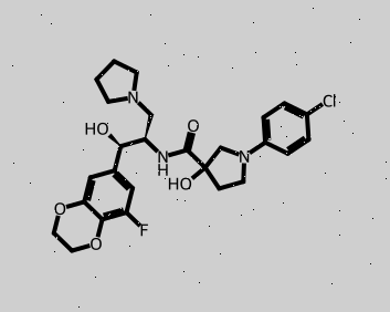 O=C(N[C@H](CN1CCCC1)[C@H](O)c1cc(F)c2c(c1)OCCO2)C1(O)CCN(c2ccc(Cl)cc2)C1